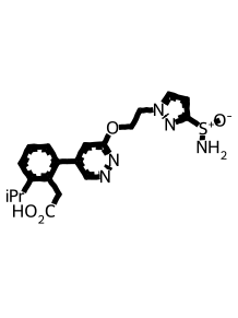 CC(C)c1cccc(-c2cnnc(OCCn3ccc([S+](N)[O-])n3)c2)c1CC(=O)O